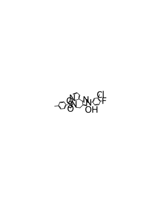 Cc1ccc(S(=O)(=O)N2CCc3c(nn(-c4ccc(F)c(Cl)c4)c3O)-c3cccnc32)cc1